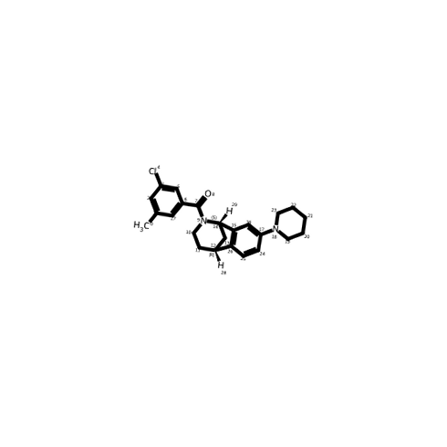 Cc1cc(Cl)cc(C(=O)N2CC[C@@H]3C[C@H]2c2cc(N4CCCCC4)ccc23)c1